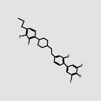 CCCc1ccc(C2CCC(CCc3ccc(-c4cc(F)c(F)c(F)c4)c(F)c3)CC2)c(F)c1F